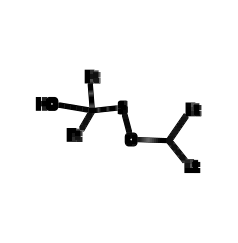 CCC(CC)OSC(O)(CC)CC